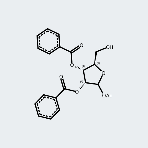 CC(=O)OC1O[C@H](CO)[C@@H](OC(=O)c2ccccc2)[C@H]1OC(=O)c1ccccc1